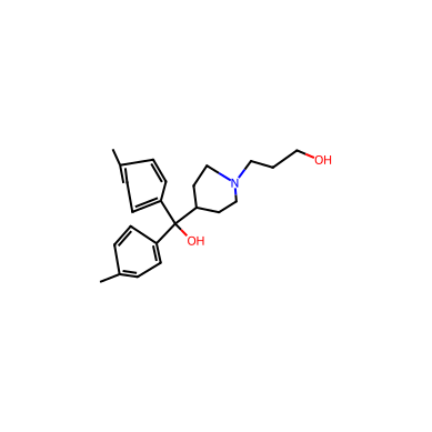 Cc1ccc(C(O)(c2ccc(C)cc2)C2CCN(CCCO)CC2)cc1